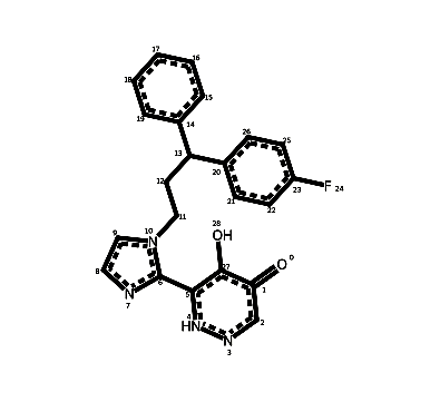 O=c1cn[nH]c(-c2nccn2CCC(c2ccccc2)c2ccc(F)cc2)c1O